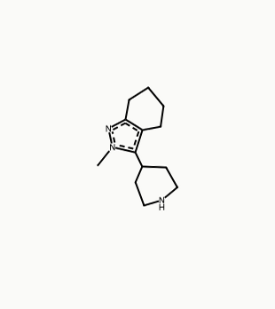 Cn1nc2c(c1C1CCNCC1)CCCC2